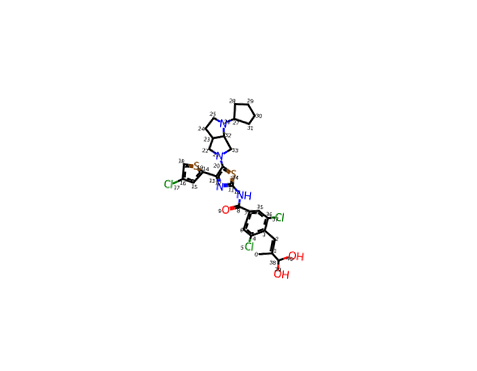 C/C(=C\c1c(Cl)cc(C(=O)Nc2nc(-c3cc(Cl)cs3)c(N3CC4CCN(C5CCCC5)C4C3)s2)cc1Cl)C(O)O